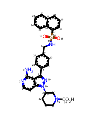 Nc1nccc2c1c(-c1ccc(CNS(=O)(=O)c3cccc4ccccc34)cc1)nn2[C@@H]1CCCN(C(=O)O)C1